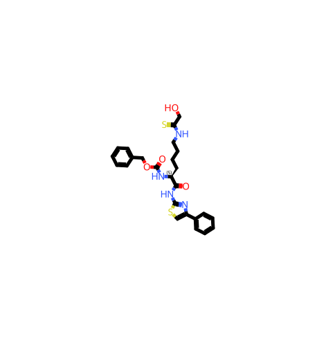 O=C(N[C@@H](CCCCNC(=S)CO)C(=O)Nc1nc(-c2ccccc2)cs1)OCc1ccccc1